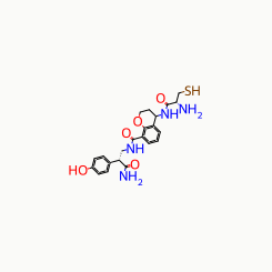 NC(=O)[C@@H](CNC(=O)c1cccc2c1OCCC2NC(=O)[C@@H](N)CS)c1ccc(O)cc1